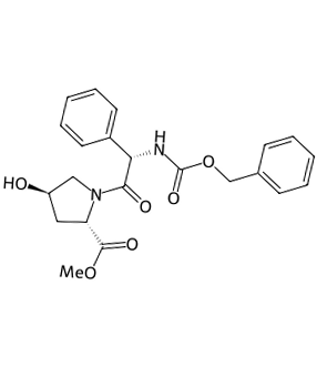 COC(=O)[C@@H]1C[C@@H](O)CN1C(=O)[C@@H](NC(=O)OCc1ccccc1)c1ccccc1